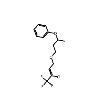 CC(CCOC/C=C(\Cl)C(F)(F)F)Oc1ccccc1